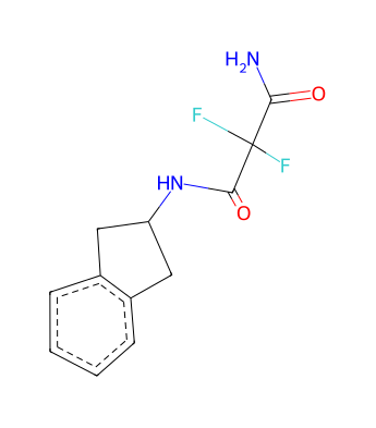 NC(=O)C(F)(F)C(=O)NC1Cc2ccccc2C1